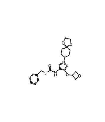 O=C(Nc1cn(C2CCC3(CC2)OCCO3)nc1OC1COC1)OCc1ccccc1